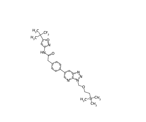 CC(C)(c1cc(NC(=O)Cc2ccc(-c3cnc4c(c3)nnn4COCC[Si](C)(C)C)cc2)no1)C(F)(F)F